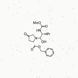 COC(=O)N[C@@H](C(C)C)C(O)N1CC(=O)C[C@H]1C(=O)OCc1ccccc1